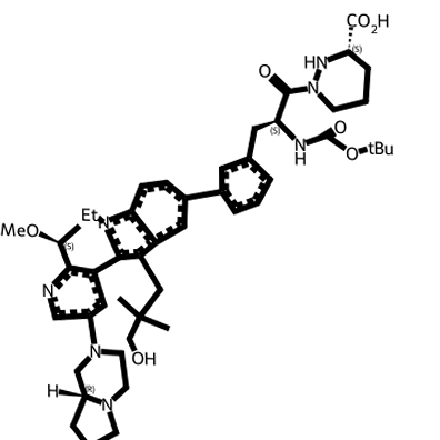 CCn1c(-c2cc(N3CCN4CCC[C@@H]4C3)cnc2[C@H](C)OC)c(CC(C)(C)CO)c2cc(-c3cccc(C[C@H](NC(=O)OC(C)(C)C)C(=O)N4CCC[C@@H](C(=O)O)N4)c3)ccc21